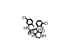 O=C1NCC[C@@H]2N[C@]3(Cc4ccc(Cl)cc4NC3=O)[C@@H](c3cccc(Cl)c3F)[C@H]12